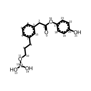 O=C(Cc1cccc(CCCON(O)O)c1)Oc1ccc(O)cc1